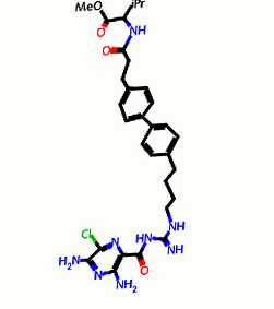 COC(=O)C(NC(=O)CCc1ccc(-c2ccc(CCCCNC(=N)NC(=O)c3nc(Cl)c(N)nc3N)cc2)cc1)C(C)C